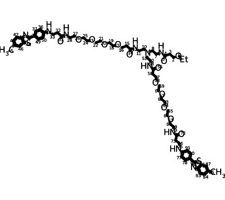 CCOCCC(=O)NCCN(CCNC(=O)CCOCCOCCOCCOCCNC(=O)CCNc1ccc(-c2nc3ccc(C)cc3s2)cc1)CCNC(=O)CCOCCOCCOCCOCCNC(=O)CCNc1ccc(-c2nc3ccc(C)cc3s2)cc1